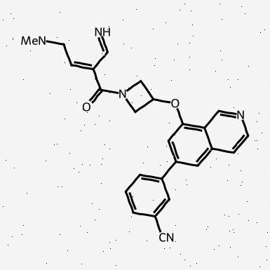 CNC/C=C(\C=N)C(=O)N1CC(Oc2cc(-c3cccc(C#N)c3)cc3ccncc23)C1